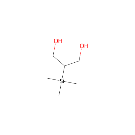 C[Si](C)(C)C(CO)CO